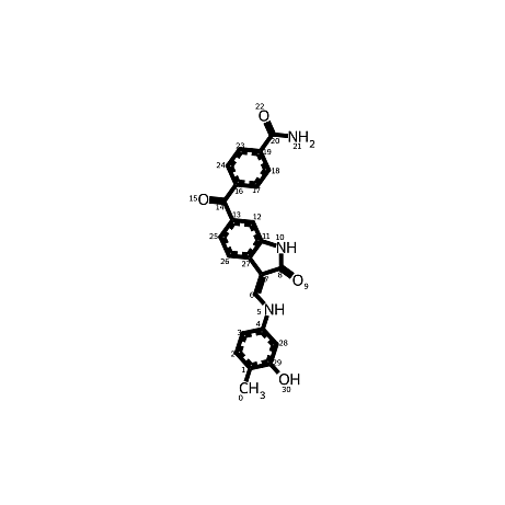 Cc1ccc(NC=C2C(=O)Nc3cc(C(=O)c4ccc(C(N)=O)cc4)ccc32)cc1O